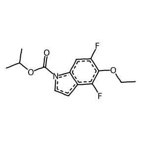 CCOc1c(F)cc2c(ccn2C(=O)OC(C)C)c1F